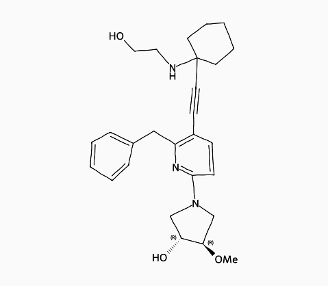 CO[C@@H]1CN(c2ccc(C#CC3(NCCO)CCCCC3)c(Cc3ccccc3)n2)C[C@H]1O